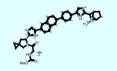 COC(=O)N[C@H](C(=O)N1CC2(CC2)C[C@H]1c1ncc(-c2ccc3cc(-c4ccc(-c5cnc(C6C7CCC(C7)N6P)[nH]5)cc4)ccc3c2)[nH]1)C(C)C